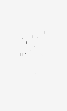 CNC(=O)C(C)(CCC(c1ccccc1)c1c[nH]c2ccccc12)C(N)(c1ccccc1)c1c[nH]c2ccccc12